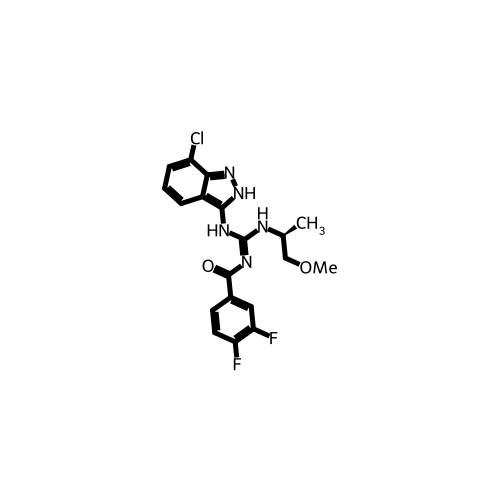 COC[C@H](C)N/C(=N/C(=O)c1ccc(F)c(F)c1)Nc1[nH]nc2c(Cl)cccc12